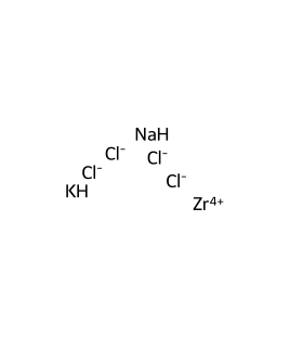 [Cl-].[Cl-].[Cl-].[Cl-].[KH].[NaH].[Zr+4]